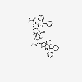 CO/N=C(\C(=O)NC1C(=O)N2C(C(=O)OC(c3ccccc3)c3ccccc3)=C(COC(=O)N(C)C)CS[C@@H]12)c1csc(NC(c2ccccc2)(c2ccccc2)c2ccccc2)n1